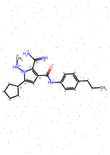 CCCc1ccc(NC(=O)c2cc(C3CCCC3)n(NC)c2C(=N)N)cc1